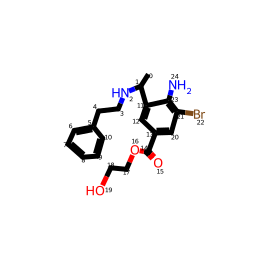 CC(NCCc1ccccc1)c1cc(C(=O)OCCO)cc(Br)c1N